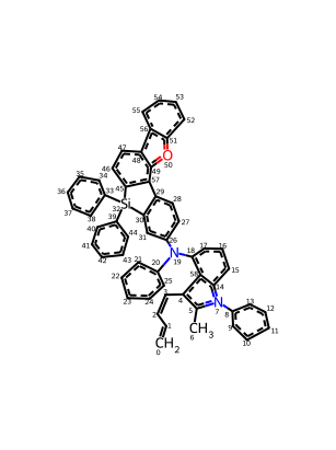 C=C/C=C\c1c(C)n(-c2ccccc2)c2cccc(N(c3ccccc3)c3ccc4c(c3)[Si](c3ccccc3)(c3ccccc3)c3ccc5c(oc6ccccc65)c3-4)c12